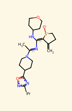 C=C1CC[S+]([O-])/C1=C(/N=C(\C)N1CCC(c2nc(C(C)C)no2)CC1)NC1CCOCC1